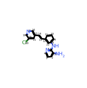 Nc1cccnc1Nc1cccc(C=Cc2cncc(Cl)c2)c1